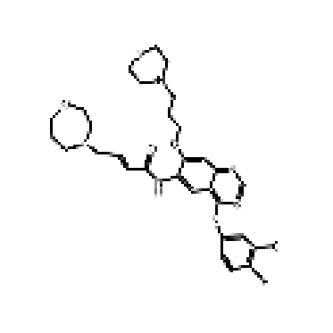 O=C(/C=C/CN1CCCOCC1)Nc1cc2c(Nc3ccc(F)c(Cl)c3)ncnc2cc1OCCCN1CCOCC1